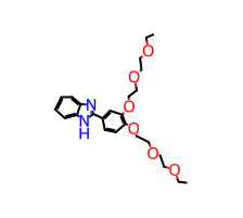 CCOCCOCCOc1ccc(-c2nc3ccccc3[nH]2)cc1OCCOCCOCC